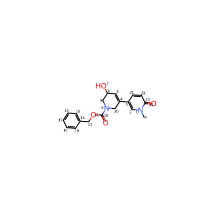 Cn1cc(C2=CC(O)CN(C(=O)OCc3ccccc3)C2)ccc1=O